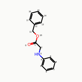 O=C(CNc1ccccc1)OCc1ccccc1